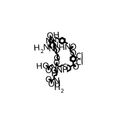 CCC(CSCC(NC(=O)CCC(N)C(=O)O)C(=O)NCC(=O)O)C(=O)c1ccc(OCC(=O)NCc2ccc(Cn3c(O)nc4c(N)nc(OCCOC)nc43)cc2)c(Cl)c1Cl